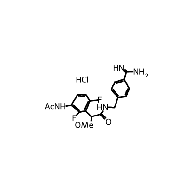 CO[C@H](C(=O)NCc1ccc(C(=N)N)cc1)c1c(F)ccc(NC(C)=O)c1F.Cl